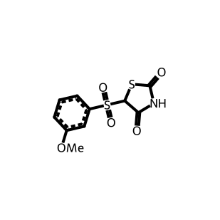 COc1cccc(S(=O)(=O)C2SC(=O)NC2=O)c1